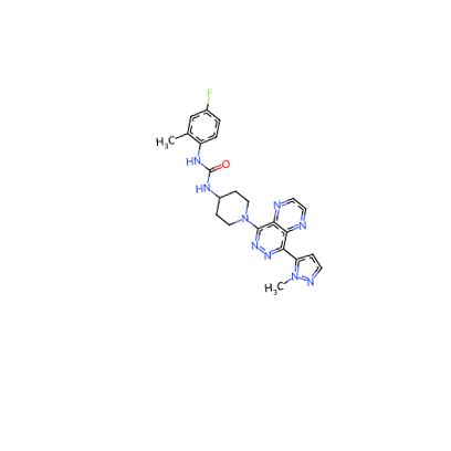 Cc1cc(F)ccc1NC(=O)NC1CCN(c2nnc(-c3ccnn3C)c3nccnc23)CC1